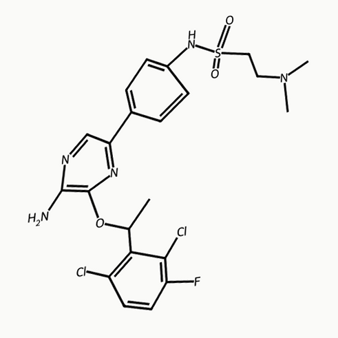 CC(Oc1nc(-c2ccc(NS(=O)(=O)CCN(C)C)cc2)cnc1N)c1c(Cl)ccc(F)c1Cl